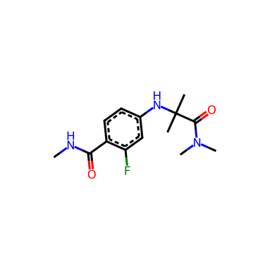 CNC(=O)c1ccc(NC(C)(C)C(=O)N(C)C)cc1F